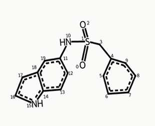 O=S(=O)(Cc1ccccc1)Nc1ccc2[nH]ccc2c1